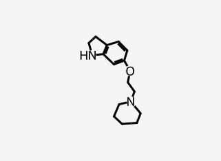 c1cc2c(cc1OCCN1CCCCC1)NCC2